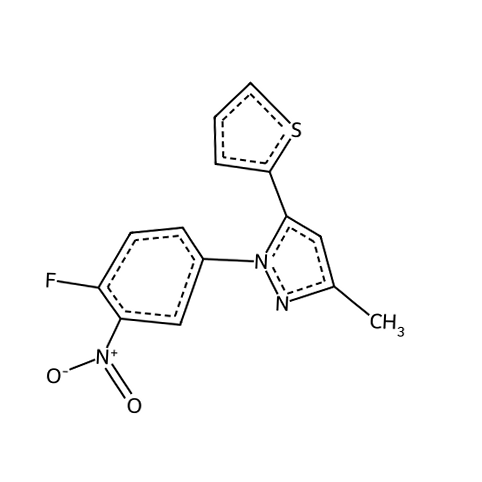 Cc1cc(-c2cccs2)n(-c2ccc(F)c([N+](=O)[O-])c2)n1